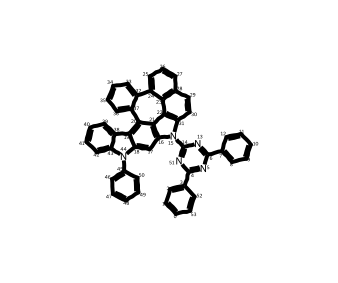 c1ccc(-c2nc(-c3ccccc3)nc(-n3c4cc5c(c6c4c4c7c(cccc7ccc43)-c3ccccc3-6)c3ccccc3n5-c3ccccc3)n2)cc1